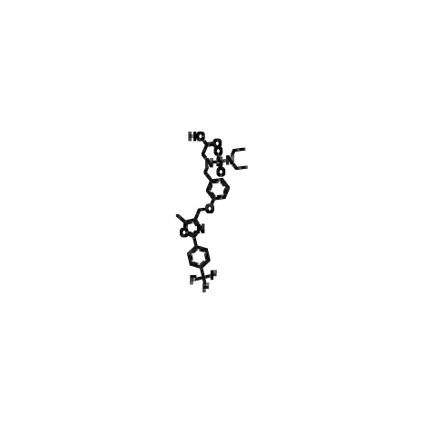 CCN(CC)S(=O)(=O)N(CC(=O)O)Cc1cccc(OCc2nc(-c3ccc(C(F)(F)F)cc3)oc2C)c1